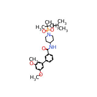 COc1cc(OC)cc(-c2cccc(C(=O)NC3CCN(P(=O)(OCC(C)C)C(C)(C)C)CC3)c2)c1